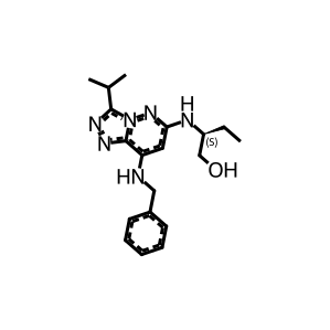 CC[C@@H](CO)Nc1cc(NCc2ccccc2)c2nnc(C(C)C)n2n1